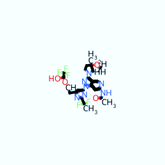 O=C(O)C(F)(F)F.[2H]C([2H])([2H])OC1(C)CCN(c2nn(-c3cc(CC)nc(C(C)(F)F)n3)c3cc(NC(C)=O)ncc23)C1